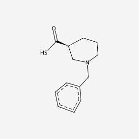 O=C(S)[C@H]1CCCN(Cc2ccccc2)C1